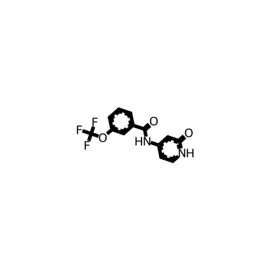 O=C(Nc1cc[nH]c(=O)c1)c1cccc(OC(F)(F)F)c1